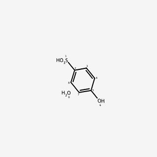 O.O=S(=O)(O)c1ccc(O)cc1